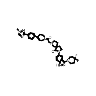 Cn1cnc(-c2ccc(C3=CCN(C(=O)CN4CCC5(CCN(c6ccc7[nH]nc(N8CCC(F)(F)CC8)c7c6)C5=O)C4)CC3)cc2)n1